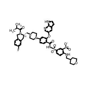 CC(C)C(=O)N1Cc2ccc(F)cc2C[C@H]1CN1CCN(c2ccc(C(=O)NS(=O)(=O)c3ccc(NCC4CCOCC4)c([N+](=O)[O-])c3)c(Oc3cnc4[nH]ccc4c3)c2)CC1